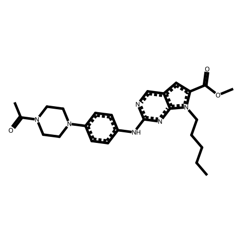 CCCCCn1c(C(=O)OC)cc2cnc(Nc3ccc(N4CCN(C(C)=O)CC4)cc3)nc21